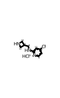 Cl.Clc1ccnc(NCC2CNC2)c1